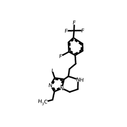 CCc1nc(I)c2n1CCNC2CCc1ccc(C(F)(F)F)cc1F